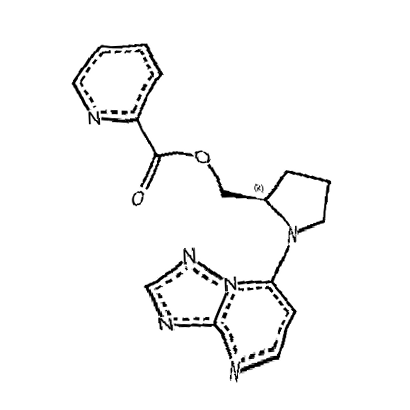 O=C(OC[C@H]1CCCN1c1ccnc2ncnn12)c1ccccn1